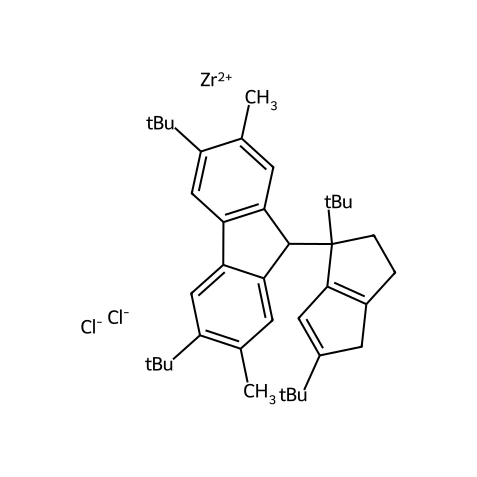 Cc1cc2c(cc1C(C)(C)C)-c1cc(C(C)(C)C)c(C)cc1C2C1(C(C)(C)C)CCC2=C1C=C(C(C)(C)C)C2.[Cl-].[Cl-].[Zr+2]